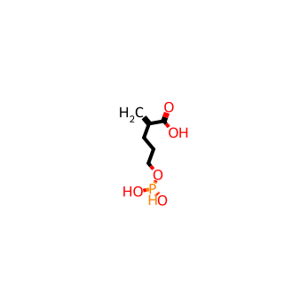 C=C(CCCO[PH](=O)O)C(=O)O